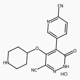 Cl.N#Cc1ccc(-c2c(OC3CCNCC3)c(C#N)n[nH]c2=O)cn1